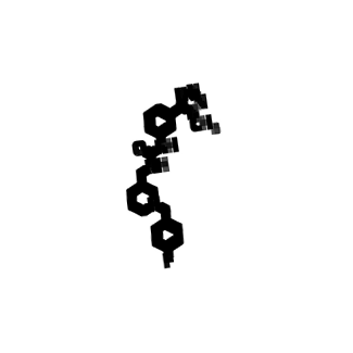 Cn1nnnc1-c1cccc(NC(=O)NCC2CCCN(Cc3ccc(F)cc3)C2)c1